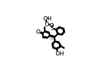 CC1=C/C(=C(/c2ccc(O)c(C)c2)c2ccccc2SOOO)C=CC1=O